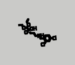 CCOC(OCC)P(=O)(O)CCCNCc1ccc(Cl)cc1Cl